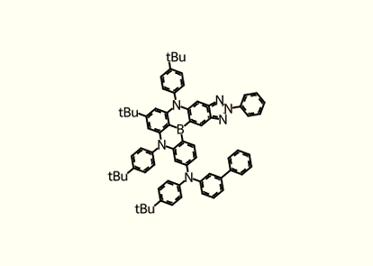 CC(C)(C)c1ccc(N(c2cccc(-c3ccccc3)c2)c2ccc3c(c2)N(c2ccc(C(C)(C)C)cc2)c2cc(C(C)(C)C)cc4c2B3c2cc3nn(-c5ccccc5)nc3cc2N4c2ccc(C(C)(C)C)cc2)cc1